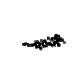 C=C(C(=O)O/C=C\Oc1ccc(-c2ccc(CCCCC)cc2F)cc1)N(C)C